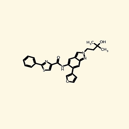 CC(C)(O)CCn1cc2cc(NC(=O)c3csc(-c4ccccc4)n3)c(-c3ccoc3)cc2n1